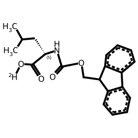 [2H]OC(=O)[C@H](CC(C)C)NC(=O)OCC1c2ccccc2-c2ccccc21